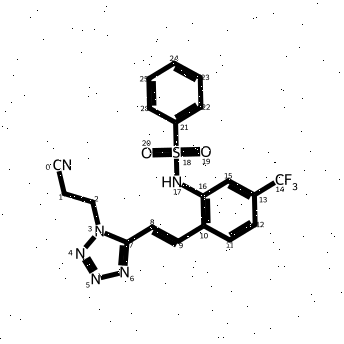 N#CCCn1nnnc1C=Cc1ccc(C(F)(F)F)cc1NS(=O)(=O)c1ccccc1